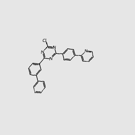 Clc1nc(-c2ccc(-c3ccccn3)cc2)nc(-c2cccc(-c3ccccc3)c2)n1